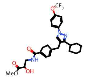 COC(=O)C(O)CNC(=O)C1=CC=C(Cc2cn(-c3ccc(OC(F)(F)F)cc3)nc2C2CCCCC2)CC1